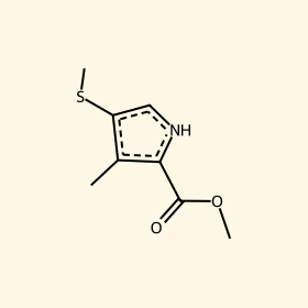 COC(=O)c1[nH]cc(SC)c1C